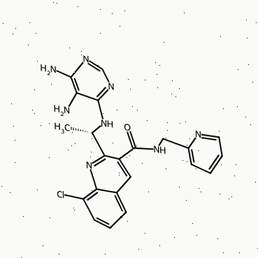 C[C@H](Nc1ncnc(N)c1N)c1nc2c(Cl)cccc2cc1C(=O)NCc1ccccn1